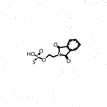 O=C1c2ccccc2C(=O)N1CCOS(=O)(O)=S